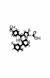 COc1ccc(C(=O)Nc2c(-c3cc(F)ccc3F)ccnc2N2CC[C@H](F)C2)cn1.O=CO